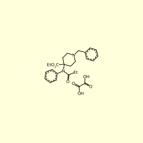 CCOC(=O)C1(N(C(=O)CC)c2ccccc2)CCN(Cc2ccccc2)CC1.O=C(O)C(=O)O